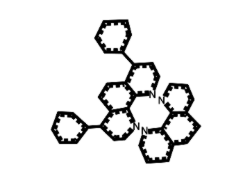 c1ccc(-c2ccnc3c2ccc2c(-c4ccccc4)ccnc23)cc1.c1cnc2c(c1)ccc1cccnc12